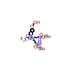 CC(C)(C)OC(=O)NCCCN(CCCNC(=O)OC(C)(C)C)/C(=N/C(=O)C(F)(F)F)N1CCc2cc(OCCO)ccc2C1